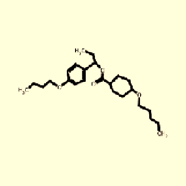 CCCCCOC1CCC(C(=O)OC(CC)c2ccc(OCCCC)cc2)CC1